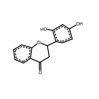 O=C1CC(c2ccc(O)cc2O)Oc2ccccc21